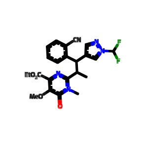 CCOC(=O)c1nc(C(C)C(c2cnn(C(F)F)c2)c2ccccc2C#N)n(C)c(=O)c1OC